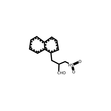 O=CC(Cc1cccc2ccccc12)C[SH](=O)=O